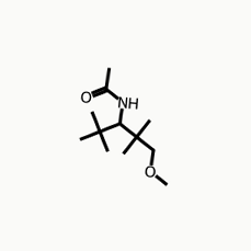 COCC(C)(C)C(NC(C)=O)C(C)(C)C